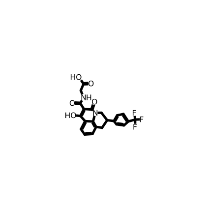 O=C(O)CNC(=O)c1c(O)c2cccc3c2n(c1=O)CC(c1ccc(C(F)(F)F)cc1)C3